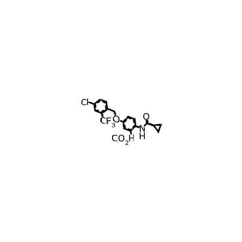 O=C(O)c1cc(OCc2ccc(Cl)cc2C(F)(F)F)ccc1NC(=O)C1CC1